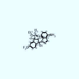 CCOP(C)(=O)C(F)(F)C(O)C(CC)(c1ccc(C(F)(F)F)cc1)n1ncc2c(N)cccc21